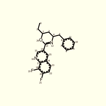 CCC1CC(Cc2ccccc2)N=C(c2cnc3c(F)c(F)ccc3c2)O1